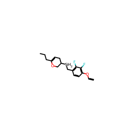 C=COc1ccc(C[SiH2]C2CC=C(CCC)OC2)c(F)c1F